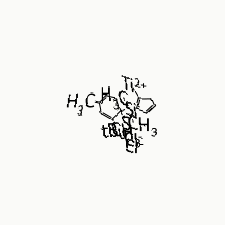 CC1=CCC(SC(C)(C)C)([Si](C)(C)C2=[C]([Ti+2])CC=C2)C(C)=C1.[Cl-].[Cl-]